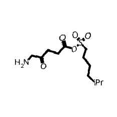 CC(C)CCCCS(=O)(=O)OC(=O)CCC(=O)CN